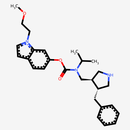 COCCn1ccc2ccc(OC(=O)N(C[C@H]3CNC[C@@H]3Cc3ccccc3)C(C)C)cc21